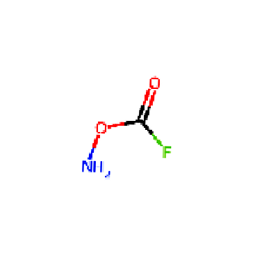 NOC(=O)F